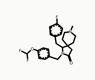 CN1CCC2(CC1)CC(=O)N(Cc1ccc(OC(F)F)cc1)C2Cc1ccc(F)cc1